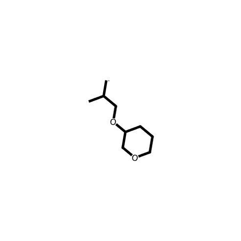 [CH2]C(C)COC1CCCOC1